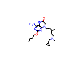 CCCCOc1nc(N)c2c(n1)N(CCC(C)CCN(C)CC1CC1)CC(=O)N2